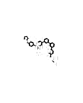 COc1nc(-c2cccc(-c3cccc(-c4ccn5c(-c6ccc(CN7CCC[C@@H]7C(=O)O)cc6)nnc5c4)c3C)c2C)ccc1C(=O)NCCO